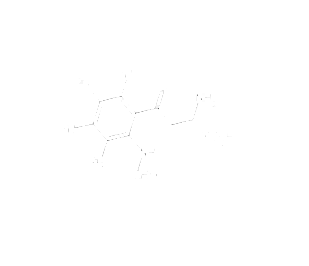 [2H]c1c([2H])c([2H])c(C(=O)C[C@H](N)C(=O)O)c(NC=O)c1[2H]